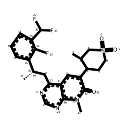 CC1CS(=O)(=O)CCC1c1cc2c(C[C@H](C)c3cccc(C(F)F)c3F)ncnc2n(C)c1=O